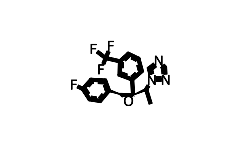 CC(n1cncn1)[C@@]1(c2cccc(C(F)(F)F)c2)O[C@H]1c1ccc(F)cc1